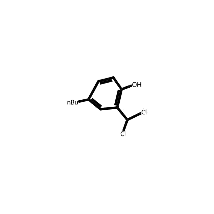 CCCCc1ccc(O)c(C(Cl)Cl)c1